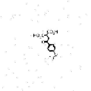 O=C(CC(C(=O)O)C(=O)O)c1ccc(OC(F)(F)F)cc1